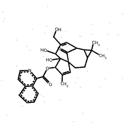 CC1=CC23CCC4C(C(C=C(CO)C(O)C2(O)C1OC(=O)c1nccc2ccccc12)C3=O)C4(C)C